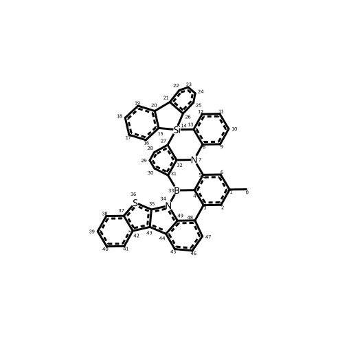 Cc1cc2c3c(c1)N1c4ccccc4[Si]4(c5ccccc5-c5ccccc54)c4cccc(c41)B3n1c3sc4ccccc4c3c3cccc-2c31